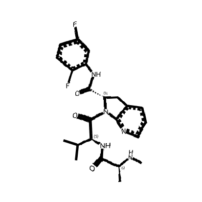 CN[C@@H](C)C(=O)N[C@H](C(=O)N1c2ncccc2C[C@H]1C(=O)Nc1cc(F)ccc1F)C(C)C